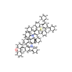 c1cccc(-c2cc(S(c3ccccc3)(c3ccccc3)c3cc(-c4ccccc4)cc(-c4ccccc4)c3)cc(-c3ccccc3)c2-n2c3c(c4cc(-n5c6ccccc6c6cccc(-c7ccccc7-c7ccc8oc9ccccc9c8c7)c65)ccc42)C=CCC3)c#1